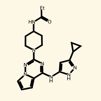 CCC(=O)NC1CCN(c2nc(Nc3cc(C4CC4)n[nH]3)c3cccn3n2)CC1